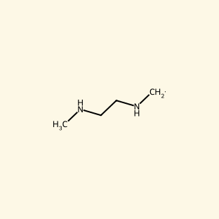 [CH2]NCCNC